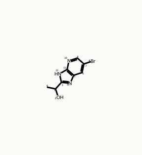 CC(O)c1nc2cc(Br)cnc2[nH]1